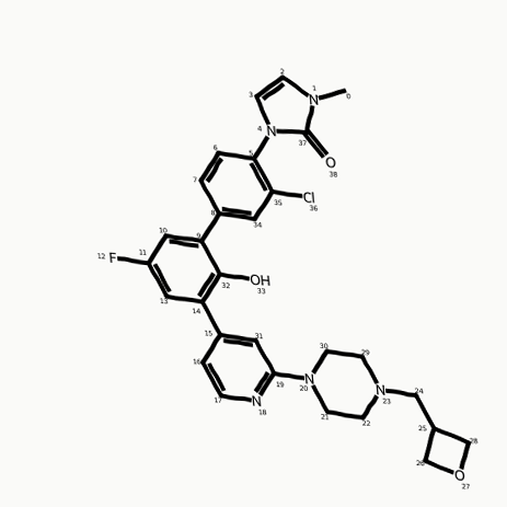 Cn1ccn(-c2ccc(-c3cc(F)cc(-c4ccnc(N5CCN(CC6COC6)CC5)c4)c3O)cc2Cl)c1=O